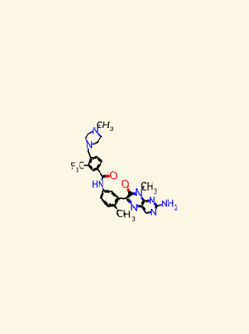 Cc1ccc(NC(=O)c2ccc(CN3CCN(C)CC3)c(C(F)(F)F)c2)cc1-c1nc2cnc(N)nc2n(C)c1=O